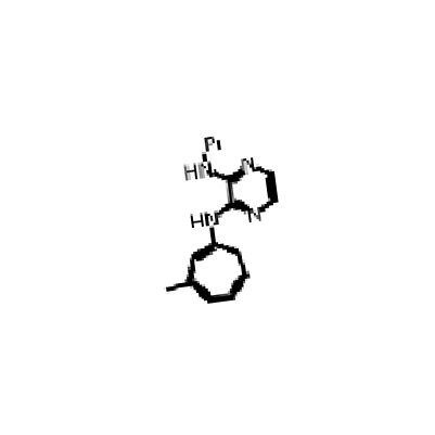 CC1=CC=CCC(Nc2nccnc2NC(C)C)=C1